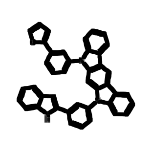 c1cc(-c2cc3ccccc3[nH]2)cc(-n2c3ccccc3c3cc4c5ccccc5n(-c5cccc(-c6ccco6)c5)c4cc32)c1